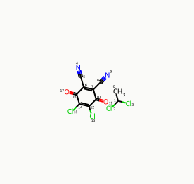 CC(Cl)Cl.N#CC1=C(C#N)C(=O)C(Cl)=C(Cl)C1=O